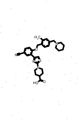 Cc1cc(CN2CCCCC2)ccc1COc1ccc(C#N)cc1-c1csc(N2CCC(C(=O)O)CC2)n1